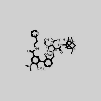 COc1c(CN2O[C@@H](CO)[C@@H]([C@H](C)O)[C@H]2C(=O)NC2C[C@H]3C[C@@H]([C@@H]2C)C3(C)C)cccc1-c1cc(C(=O)NCCc2cccs2)cc(N(C)C)c1OC